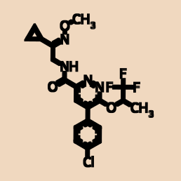 CON=C(CNC(=O)c1cc(-c2ccc(Cl)cc2)c(OC(C)C(F)(F)F)nn1)C1CC1